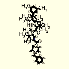 CN[C@H](C(=O)N[C@H](C(=O)N(C)[C@H](/C=C(\C)C(=O)N1CCN(Cc2ccccc2)CC1)C(C)C)C(C)(C)C)C(C)(C)c1cc(C)cc(C)c1